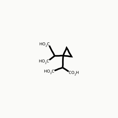 O=C(O)C(C(=O)O)C1(C(C(=O)O)C(=O)O)CC1